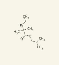 CCNC(C)(C)C(=O)OCC(C)C